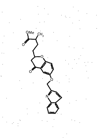 COC(=O)C(C)CCC1CC(=O)c2cc(OCc3ccc4ccccc4n3)ccc2O1